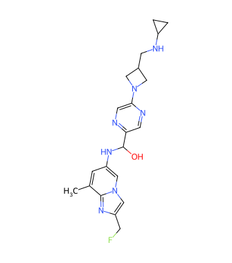 Cc1cc(NC(O)c2cnc(N3CC(CNC4CC4)C3)cn2)cn2cc(CF)nc12